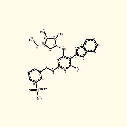 Cc1nc(NCc2cccc(S(C)(=O)=O)c2)nc(N[C@@H]2C[C@H](CO)[C@@H](O)[C@H]2O)c1-c1nc2ccccc2s1